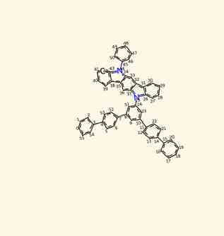 c1ccc(-c2ccc(-c3cc(-c4ccc(-c5ccccc5)cc4)cc(-n4c5ccccc5c5cc6c(cc54)c4ccccc4n6-c4ccccc4)c3)cc2)cc1